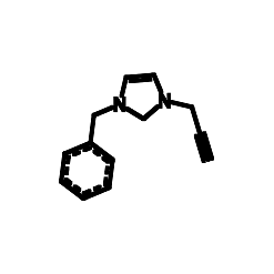 C#CCN1C=CN(Cc2ccccc2)C1